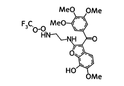 COc1cc(C(=O)c2c(NCCNOOC(F)(F)F)oc3c(O)c(OC)ccc23)cc(OC)c1OC